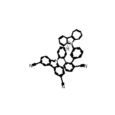 N#Cc1ccc2c(c1)c1cc(C#N)ccc1n2-c1ccccc1-c1cccc(C#N)c1-c1cccc(N2C3=C(CC=CC=C3)C3C=CC=C[C@@H]32)c1